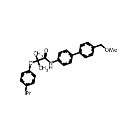 COCc1ccc(-c2ccc(NC(=O)C(C)(C)Oc3ccc(C(C)C)cc3)cc2)cc1